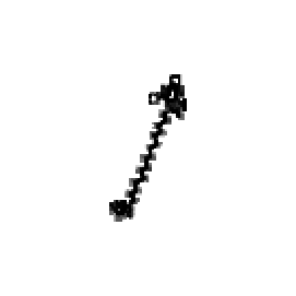 Cc1nc2nc(Cl)nc(Cl)c2n1CCCCCCCCCCCCCCCCn1ncnn1